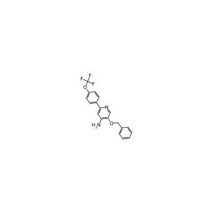 Nc1cc(-c2ccc(OC(F)(F)F)cc2)ncc1OCc1ccccc1